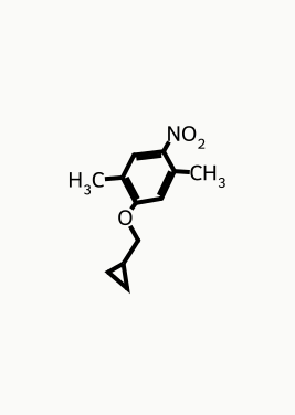 Cc1cc([N+](=O)[O-])c(C)cc1OCC1CC1